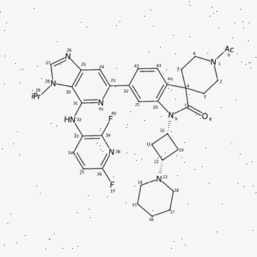 CC(=O)N1CCC2(CC1)C(=O)N([C@H]1C[C@@H](N3CCCCC3)C1)c1cc(-c3cc4ncn(C(C)C)c4c(Nc4ccc(F)nc4F)n3)ccc12